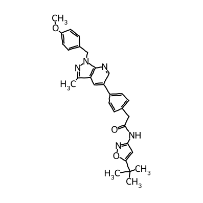 COc1ccc(Cn2nc(C)c3cc(-c4ccc(CC(=O)Nc5cc(C(C)(C)C)on5)cc4)cnc32)cc1